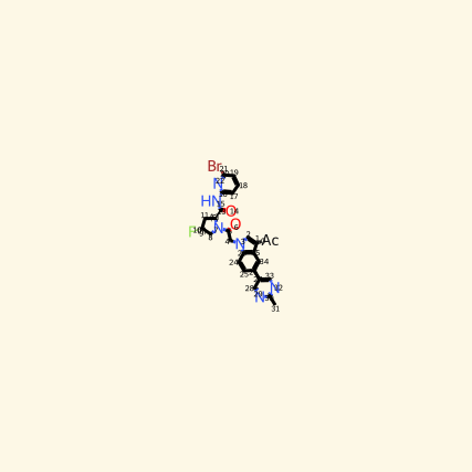 CC(=O)c1cn(CC(=O)N2C[C@H](F)C[C@H]2C(=O)Nc2cccc(Br)n2)c2ccc(-c3cnc(C)nc3)cc12